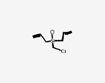 C=CC[Si](Cl)(CCl)CC=C